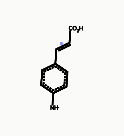 [NH]c1ccc(/C=C/C(=O)O)cc1